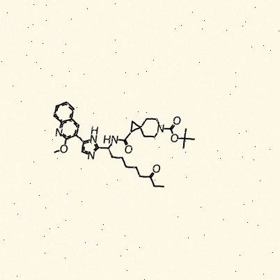 CCC(=O)CCCCC[C@H](NC(=O)C1CC12CCN(C(=O)OC(C)(C)C)CC2)c1ncc(-c2cc3ccccc3nc2OC)[nH]1